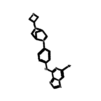 Brc1cn2ncnc2c(Nc2ccc(N3CC4CC3CN4C3COC3)cc2)n1